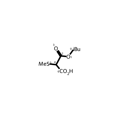 CCC(C)OC(=O)C(SC)C(=O)O